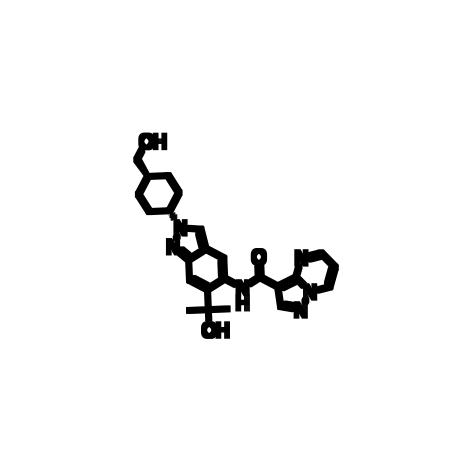 CC(C)(O)c1cc2nn([C@H]3CC[C@H](CO)CC3)cc2cc1NC(=O)c1cnn2cccnc12